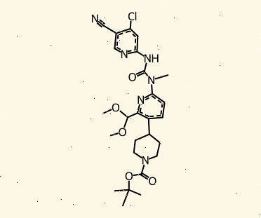 COC(OC)c1nc(N(C)C(=O)Nc2cc(Cl)c(C#N)cn2)ccc1C1CCN(C(=O)OC(C)(C)C)CC1